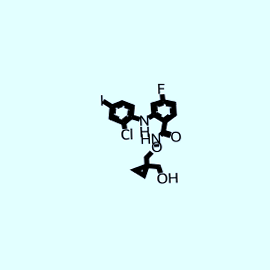 O=C(NOCC1(CO)CC1)c1ccc(F)cc1Nc1ccc(I)cc1Cl